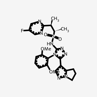 COc1cccc(OC)c1-n1c(NS(=O)(=O)[C@@H](C)[C@H](C)c2ncc(F)cn2)nnc1-c1cnn2c1CCC2